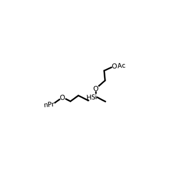 CCCOCCC[SiH](C)OCCOC(C)=O